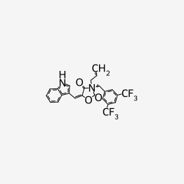 C=CC[N+]1(Cc2cc(C(F)(F)F)cc(C(F)(F)F)c2)C(=O)OC(=Cc2c[nH]c3ccccc23)C1=O